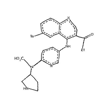 CCC(=O)c1cnc2ccc(Br)cc2c1Nc1ccc(N(C(=O)O)C2CCNC2)nc1